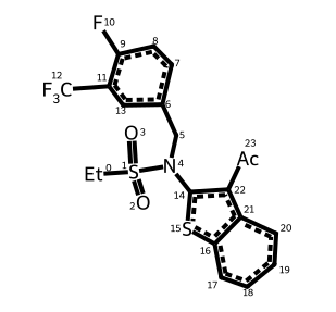 CCS(=O)(=O)N(Cc1ccc(F)c(C(F)(F)F)c1)c1sc2ccccc2c1C(C)=O